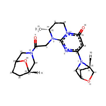 O=C(CN1c2nc(N3CC4C[C@H]3CO4)cc(=O)n2CC[C@H]1C(F)(F)F)N1CC2CC[C@@H](C1)O2